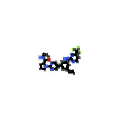 CNC(=O)C1CCCN1c1ncc(-c2cc(C)cc(Nc3nccc(C(F)(F)F)n3)c2)cn1